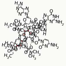 CCP(=O)(OC[C@@H]1CN(P(=O)(OC[C@@H]2CN(P(=O)(OC[C@@H]3CN(P(=O)(OC[C@@H]4CN(P(=O)(OC[C@@H]5CNC[C@H](n6cnc7c(=O)[nH]c(N)nc76)O5)N(C)C)C[C@H](n5cnc6c(N)ncnc65)O4)N(C)C)C[C@H](n4cc(C)c(=O)[nH]c4=O)O3)N(C)C)C[C@H](n3ccc(N)nc3=O)O2)N(C)C)C[C@H](n2cc(C)c(=O)[nH]c2=O)O1)N(C)C